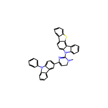 CN1CC=C(c2ccc3c(c2)c2ccccc2n3-c2ccccc2)N=C1n1c2ccccc2c2c3sc4ccccc4c3ccc21